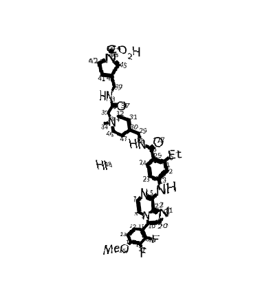 CCc1cc(Nc2nccn3c(-c4ccc(OC)c(F)c4F)cnc23)ccc1C(=O)NCC1CC[N+](C)(CC(=O)NCC2CCN(C(=O)O)C2)CC1.I